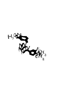 Cn1cc2cc(Cn3nnc4ncc(-c5ccc(P(C)(C)=O)c(F)c5)nc43)ccc2n1